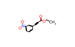 CCOC(=O)C#Cc1cccc([N+](=O)[O-])c1